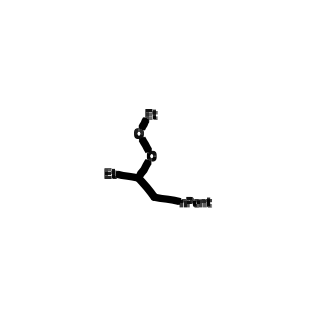 CCCCCCC(CC)OOCC